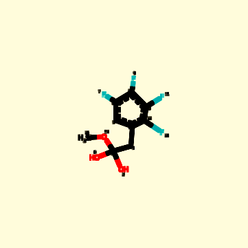 OC(O)(Cc1cc(F)c(F)c(F)c1F)O[SiH3]